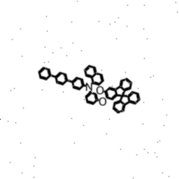 c1ccc(-c2ccc(-c3ccc(N(c4cccc5c4Oc4cc6c(cc4O5)C4(c5ccccc5-c5ccccc54)c4ccccc4-6)c4cccc5ccccc45)cc3)cc2)cc1